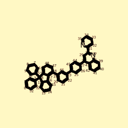 c1ccc(C2(c3ccccc3)c3ccccc3-c3c(-c4cccc(-c5ccc(-c6cc(-c7ccccn7)nc7ccccc67)cc5)c4)cccc32)cc1